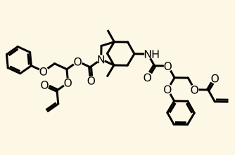 C=CC(=O)OCC(OC(=O)NC1CC2(C)CN(C(=O)OC(COc3ccccc3)OC(=O)C=C)C(C)(C1)C2)Oc1ccccc1